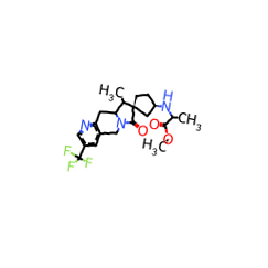 COC(=O)C(C)N[C@@H]1CC[C@@]2(C1)C(=O)N1Cc3cc(C(F)(F)F)cnc3CC1C2C